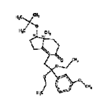 CCOC(CC1=C2CC[C@H](OC(C)(C)C)[C@@]2(C)CCC1=O)(OCC)c1cccc(OC)c1